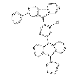 Clc1cc(-c2c3ccccc3c(-c3ccccc3)c3ccccc23)ccc1-n1c2cnccc2c2ccc(-c3ccccc3)cc21